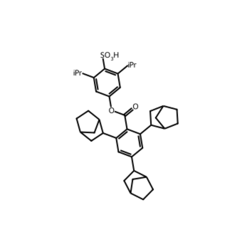 CC(C)c1cc(OC(=O)c2c(C3CC4CCC3C4)cc(C3CC4CCC3C4)cc2C2CC3CCC2C3)cc(C(C)C)c1S(=O)(=O)O